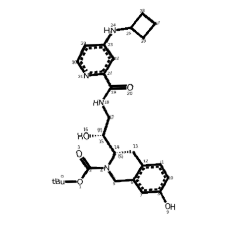 CC(C)(C)OC(=O)N1Cc2cc(O)ccc2C[C@H]1[C@H](O)CNC(=O)c1cc(NC2CCC2)ccn1